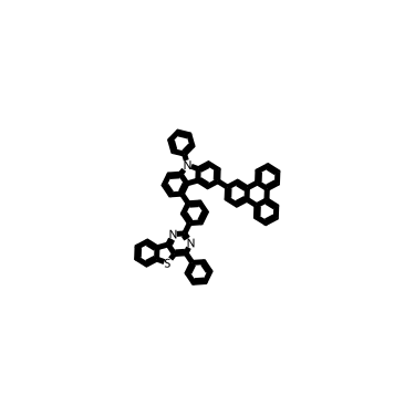 c1ccc(-c2nc(-c3cccc(-c4cccc5c4c4cc(-c6ccc7c8ccccc8c8ccccc8c7c6)ccc4n5-c4ccccc4)c3)nc3c2sc2ccccc23)cc1